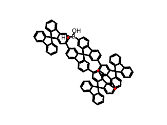 OB(O)c1ccc2c(c1)C1(c3cc(-c4ccc5c(c4)C4(c6ccccc6-c6ccccc64)c4ccccc4-5)ccc3-2)c2cc(-c3ccc4c(c3)C3(c5ccccc5-c5ccccc53)c3ccccc3-4)ccc2-c2ccc(-c3ccc4c(c3)C3(c5ccccc5-c5ccccc53)c3ccccc3-4)cc21